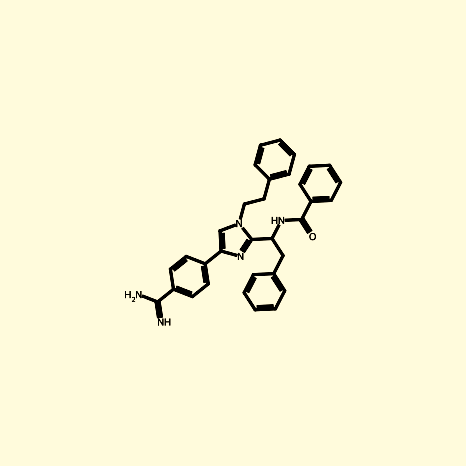 N=C(N)c1ccc(-c2cn(CCc3ccccc3)c(C(Cc3ccccc3)NC(=O)c3ccccc3)n2)cc1